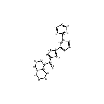 O=C(c1csc(-c2cccc(-c3ccccc3)c2)n1)N1CCCC2CCCCC21